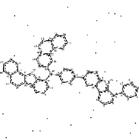 c1ccc(-c2cccc3c2oc2ccc(-c4ccc(N(c5ccc6ccc7ccccc7c6c5)c5cccc6c5oc5c7ccccc7ccc65)cc4)cc23)cc1